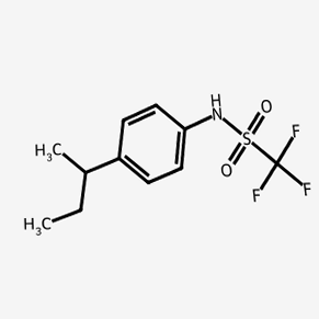 CCC(C)c1ccc(NS(=O)(=O)C(F)(F)F)cc1